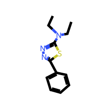 CCN(CC)c1nnc(-c2ccccc2)s1